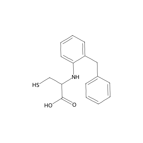 O=C(O)C(CS)Nc1ccccc1Cc1ccccc1